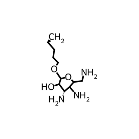 C=CCCCOC1OC(CN)C(N)[C@H](N)C1O